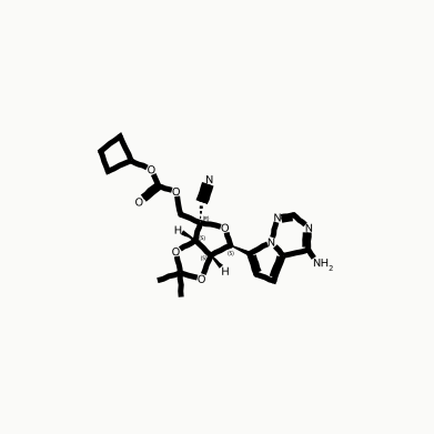 CC1(C)O[C@H]2[C@H](c3ccc4c(N)ncnn34)O[C@](C#N)(COC(=O)OC3CCC3)[C@H]2O1